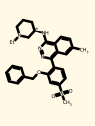 CCN1CCC[C@@H](Nc2nnc(-c3ccc(S(C)(=O)=O)cc3OCc3ccccc3)c3cc(C)ccc23)C1